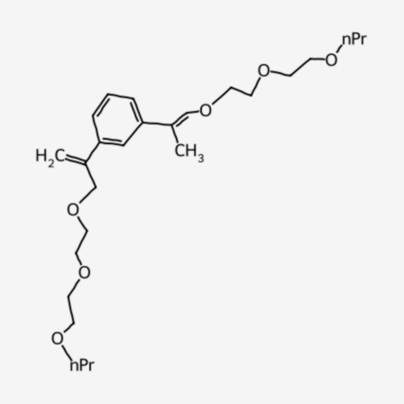 C=C(COCCOCCOCCC)c1cccc(C(C)=COCCOCCOCCC)c1